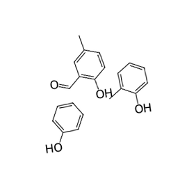 Cc1ccc(O)c(C=O)c1.Cc1ccccc1O.Oc1ccccc1